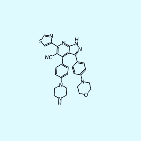 N#Cc1c(-c2cscn2)nc2[nH]nc(-c3ccc(N4CCOCC4)cc3)c2c1-c1ccc(N2CCNCC2)cc1